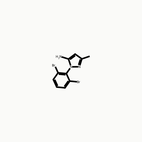 Cc1cc(N)n(-c2c(Br)cccc2Br)n1